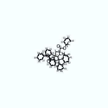 CC(C1(CCC(=O)Oc2ccccc2)c2ccccc2-c2ccccc21)C1(CCC(=O)Oc2ccccc2)c2ccccc2-c2ccccc21